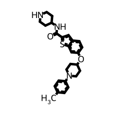 Cc1ccc(N2CCC(Oc3ccc4cc(C(=O)NC5CCNCC5)sc4c3)CC2)cc1